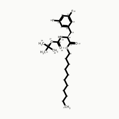 CCCCCCCCCCCOC(=O)[C@H](Cc1cc(F)cc(F)c1)NC(=O)OC(C)(C)C